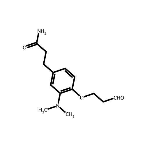 CN(C)c1cc(CCC(N)=O)ccc1OCCC=O